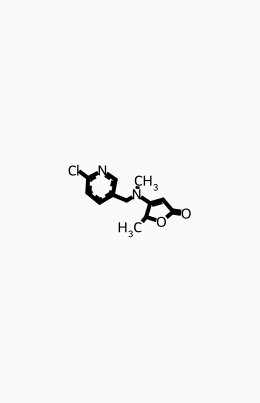 CC1OC(=O)C=C1N(C)Cc1ccc(Cl)nc1